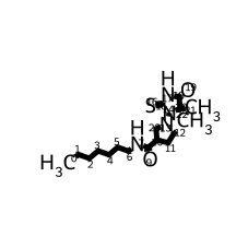 CCCCCCCNC(=O)C1CCN(N2C(=S)NC(=O)C2(C)C)C1